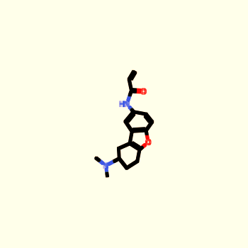 C=CC(=O)Nc1ccc2oc3c(c2c1)CC(N(C)C)CC3